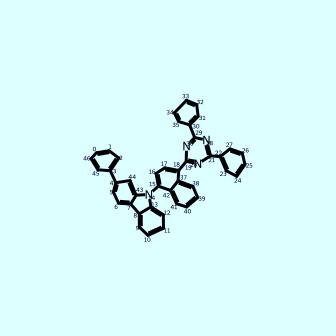 c1ccc(-c2ccc3c4ccccc4n(-c4ccc(-c5nc(-c6ccccc6)nc(-c6ccccc6)n5)c5ccccc45)c3c2)cc1